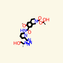 COc1cc2c(cc1C(=O)Nc1cccc(-c3nnnn3[C@H](C)CO)n1)CN(C(=O)O[C@H](C)O)CC2